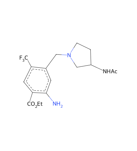 CCOC(=O)c1cc(C(F)(F)F)c(CN2CCC(NC(C)=O)C2)cc1N